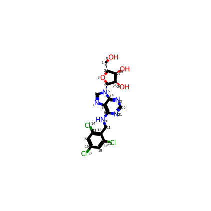 OC[C@H]1O[C@@H](n2cnc3c(NCc4c(Cl)cc(Cl)cc4Cl)ncnc32)[C@H](O)[C@@H]1O